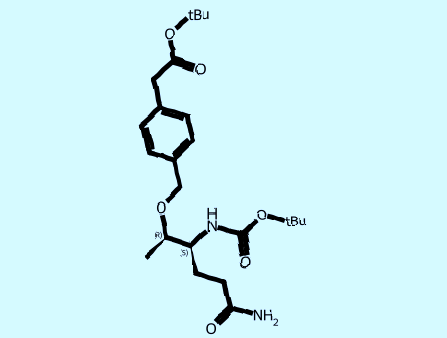 C[C@@H](OCc1ccc(CC(=O)OC(C)(C)C)cc1)[C@H](CCC(N)=O)NC(=O)OC(C)(C)C